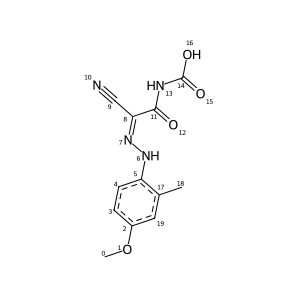 COc1ccc(NN=C(C#N)C(=O)NC(=O)O)c(C)c1